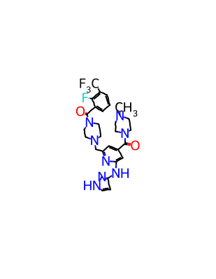 CN1CCN(C(=O)c2cc(CN3CCN(C(=O)c4cccc(C(F)(F)F)c4F)CC3)nc(Nc3cc[nH]n3)c2)CC1